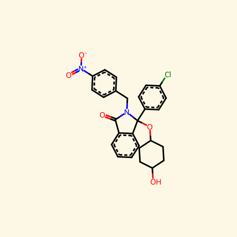 O=C1c2ccccc2C(OC2CCC(O)CC2)(c2ccc(Cl)cc2)N1Cc1ccc([N+](=O)[O-])cc1